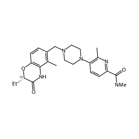 CC[C@@H]1Oc2ccc(CN3CCN(c4ccc(C(=O)NC)nc4C)CC3)c(C)c2NC1=O